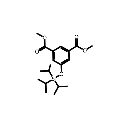 COC(=O)c1cc(O[Si](C(C)C)(C(C)C)C(C)C)cc(C(=O)OC)c1